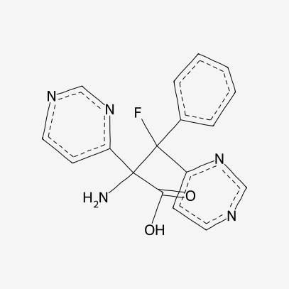 NC(C(=O)O)(c1ccncn1)C(F)(c1ccccc1)c1ccncn1